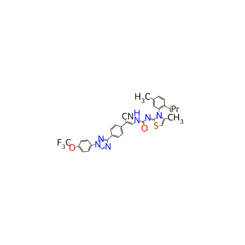 Cc1ccc(C(C)C)c(-n2c(C)cs/c2=N\C(=O)N/C=C(\C#N)c2ccc(-c3ncn(-c4ccc(OC(F)(F)F)cc4)n3)cc2)c1